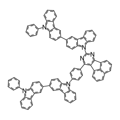 c1ccc(-n2c3ccccc3c3cc(-c4ccc5c(c4)c4ccccc4n5-c4ccc(-c5nc(-n6c7ccccc7c7cc(-c8ccc9c(c8)c8ccccc8n9-c8ccccc8)ccc76)nc6c5-c5cccc7cccc-6c57)cc4)ccc32)cc1